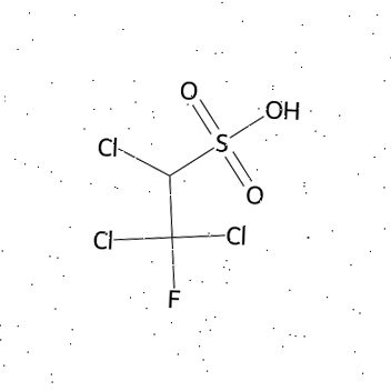 O=S(=O)(O)C(Cl)C(F)(Cl)Cl